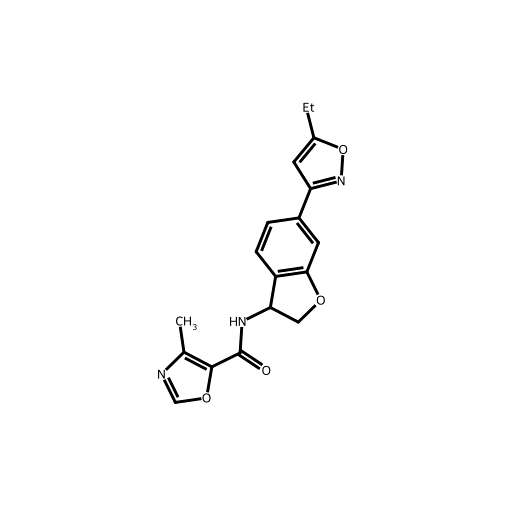 CCc1cc(-c2ccc3c(c2)OCC3NC(=O)c2ocnc2C)no1